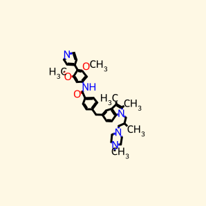 COc1cc(NC(=O)c2ccc(Cc3ccc4c(c3)c(C)c(C)n4CC(C)CN3CCN(C)CC3)cc2)cc(OC)c1-c1ccncc1